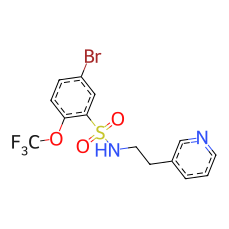 O=S(=O)(NCCc1cccnc1)c1cc(Br)ccc1OC(F)(F)F